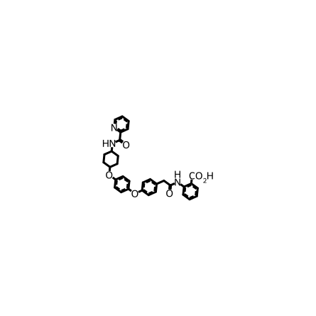 O=C(Cc1ccc(Oc2ccc(OC3CCC(NC(=O)c4ccccn4)CC3)cc2)cc1)Nc1ccccc1C(=O)O